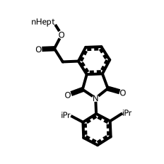 CCCCCCCOC(=O)Cc1cccc2c1C(=O)N(c1c(C(C)C)cccc1C(C)C)C2=O